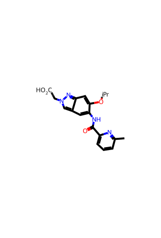 Cc1cccc(C(=O)Nc2cc3cn(CC(=O)O)nc3cc2OC(C)C)n1